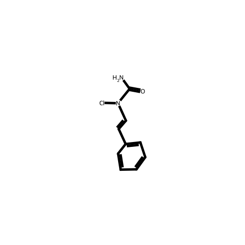 NC(=O)N(Cl)C=Cc1ccccc1